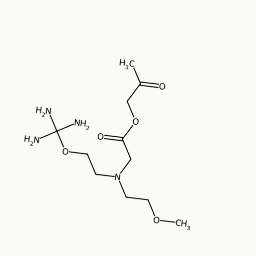 COCCN(CCOC(N)(N)N)CC(=O)OCC(C)=O